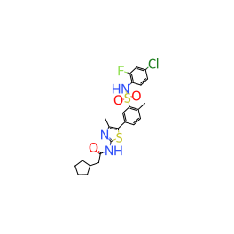 Cc1ccc(-c2sc(NC(=O)CC3CCCC3)nc2C)cc1S(=O)(=O)Nc1ccc(Cl)cc1F